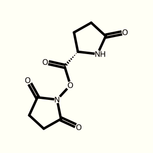 O=C1CC[C@@H](C(=O)ON2C(=O)CCC2=O)N1